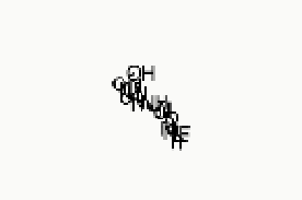 CN1c2nc(NCc3ccc(Oc4cc(C(F)(F)F)nn4C)nc3)nc3c2N(CCC3)C(=O)[C@@H]1CO